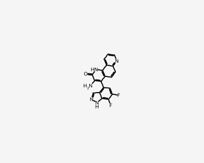 Nc1c(-c2cc(F)c(F)c3[nH]ncc23)c2ccc3ncccc3c2[nH]c1=O